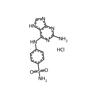 Cl.Nc1nc(Nc2ccc(S(N)(=O)=O)cc2)c2[nH]cnc2n1